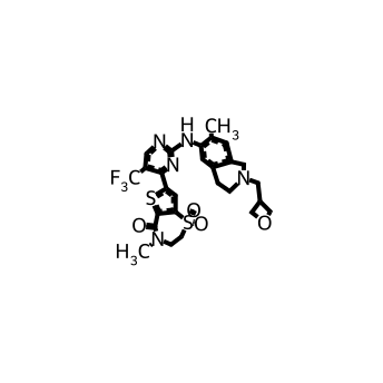 Cc1cc2c(cc1Nc1ncc(C(F)(F)F)c(-c3cc4c(s3)C(=O)N(C)CCS4(=O)=O)n1)CCN(CC1COC1)C2